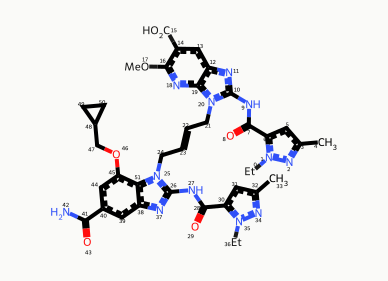 CCn1nc(C)cc1C(=O)Nc1nc2cc(C(=O)O)c(OC)nc2n1CC=CCn1c(NC(=O)c2cc(C)nn2CC)nc2cc(C(N)=O)cc(OCC3CC3)c21